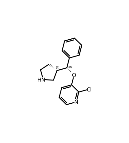 Clc1ncccc1O[C@@H](c1ccccc1)[C@H]1CCNC1